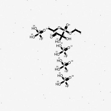 CCOP(=O)(OCC)C(O)(O)C=O.O=P(O)(O)F.O=P(O)(O)F.O=P(O)(O)F.O=P(O)(O)F